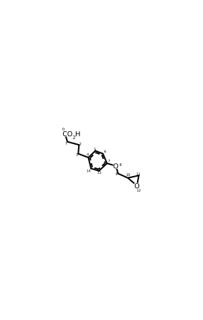 O=C(O)CCCc1ccc(OCC2CO2)cc1